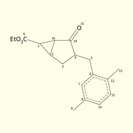 CCOC(=O)C1C2CC(Cc3cc(C)ccc3C)C(=O)C21